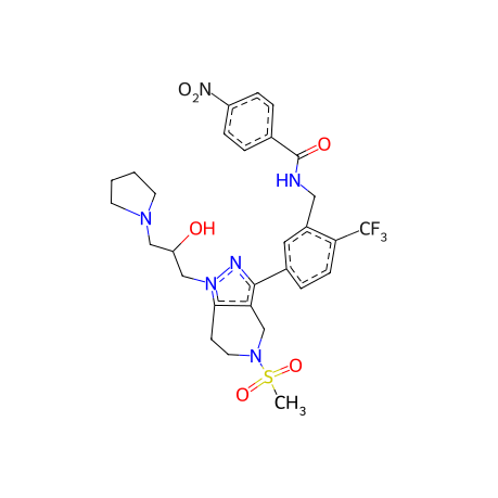 CS(=O)(=O)N1CCc2c(c(-c3ccc(C(F)(F)F)c(CNC(=O)c4ccc([N+](=O)[O-])cc4)c3)nn2CC(O)CN2CCCC2)C1